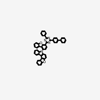 c1ccc(-c2ccc(-c3nc(-c4ccccc4)nc(-c4ccc(-n5c6ccccc6c6c7c(ccc65)oc5ccccc57)c5c4oc4ccccc45)n3)cc2)cc1